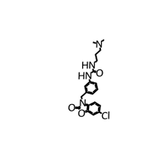 CN(C)CCCNC(=O)Nc1cccc(Cn2c(=O)oc3cc(Cl)ccc32)c1